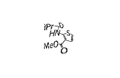 COC(=O)c1ccsc1NC(=O)C(C)C